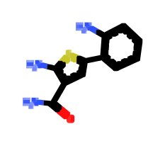 NC(=O)c1cc(-c2ccccc2N)sc1N